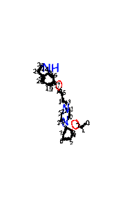 CCOc1ccccc1N1CCN(CCCCOc2ccc3cc[nH]c3c2)CC1